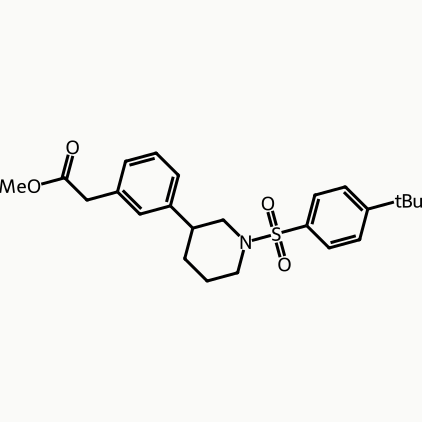 COC(=O)Cc1cccc(C2CCCN(S(=O)(=O)c3ccc(C(C)(C)C)cc3)C2)c1